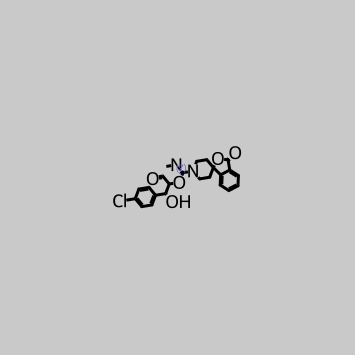 C/N=C(\OC(C=O)C(O)c1ccc(Cl)cc1)N1CCC2(CC1)OC(=O)c1ccccc12